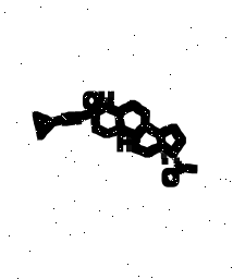 CC(=O)[C@H]1CCC2C3CCC4C[C@@](O)(C#CC5CC5)CC[C@@H]4C3CC[C@@]21C